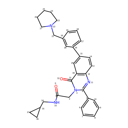 O=C(Cn1c(-c2ccccc2)nc2ccc(-c3cccc(CN4CCCCC4)c3)cc2c1=O)NCC1CC1